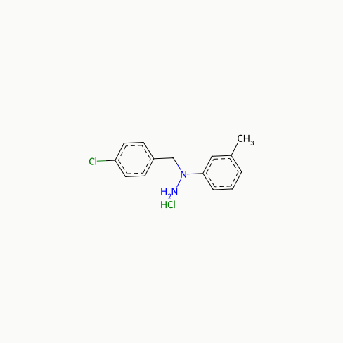 Cc1cccc(N(N)Cc2ccc(Cl)cc2)c1.Cl